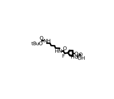 CC(C)(C)OC(=O)NCCCCCCNC(=O)C(F)c1ccc(OP(=O)(O)O)cc1